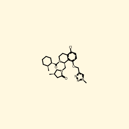 C[C@@H]1CC(=O)N(C[C@@H]2c3c(OCc4cn(C)nn4)ccc(Cl)c3CCN2C(=O)[C@@H]2CCCC[C@@H]2C)C1